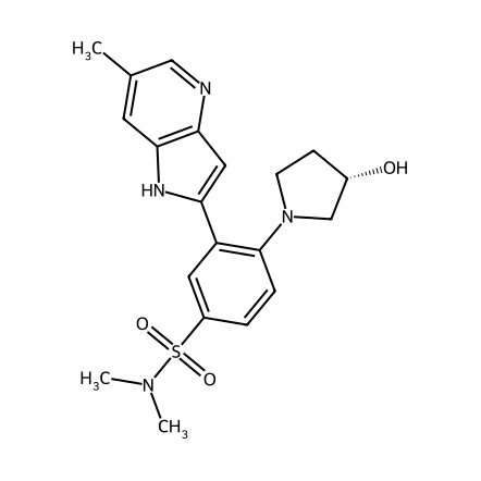 Cc1cnc2cc(-c3cc(S(=O)(=O)N(C)C)ccc3N3CC[C@H](O)C3)[nH]c2c1